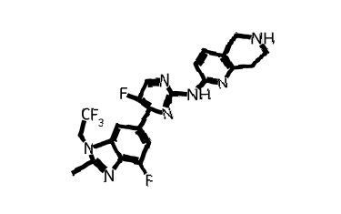 Cc1nc2c(F)cc(-c3nc(Nc4ccc5c(n4)CCNC5)ncc3F)cc2n1CC(F)(F)F